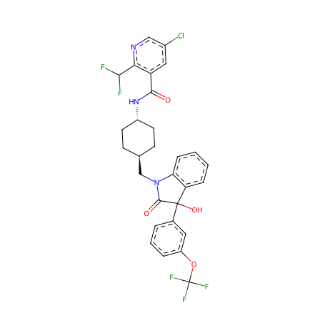 O=C(N[C@H]1CC[C@H](CN2C(=O)C(O)(c3cccc(OC(F)(F)F)c3)c3ccccc32)CC1)c1cc(Cl)cnc1C(F)F